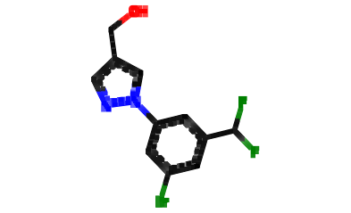 OCc1cnn(-c2cc(Br)cc(C(F)F)c2)c1